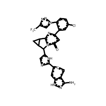 Nc1n[nH]c2cc(-c3ncc(C4C5CC5c5nc(-c6cc(Cl)ccc6-n6cc(C(F)(F)F)nn6)cc(=O)n54)[nH]3)ccc12